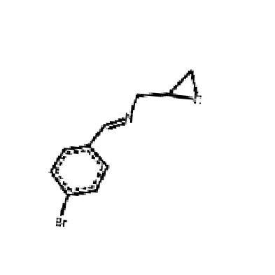 Brc1ccc(C=NCC2CO2)cc1